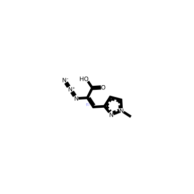 Cn1ccc(/C=C(/N=[N+]=[N-])C(=O)O)n1